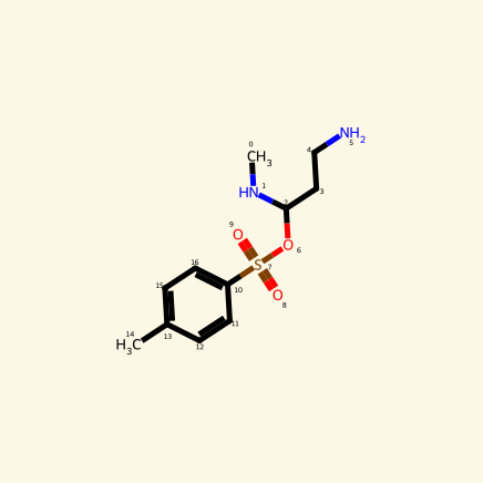 CNC(CCN)OS(=O)(=O)c1ccc(C)cc1